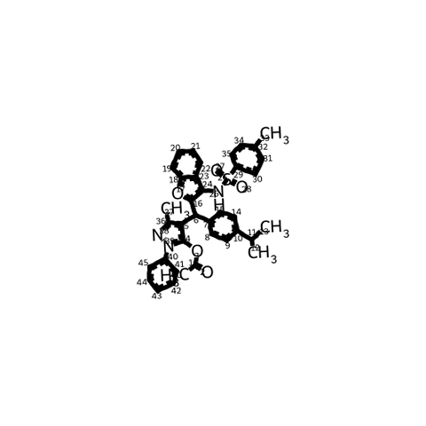 CC(=O)Oc1c(C(c2ccc(C(C)C)cc2)c2oc3ccccc3c2NS(=O)(=O)c2ccc(C)cc2)c(C)nn1-c1ccccc1